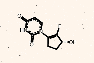 O=c1ccn(C2=C(F)[C@H](O)CC2)c(=O)[nH]1